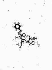 CC[C@@H](CN[C@@H](CC)C(=O)O)NC(=O)OCc1ccccc1